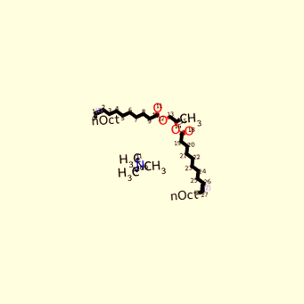 CCCCCCCC/C=C\CCCCCCCC(=O)OCC(C)OC(=O)CCCCCCC/C=C\CCCCCCCC.CN(C)C